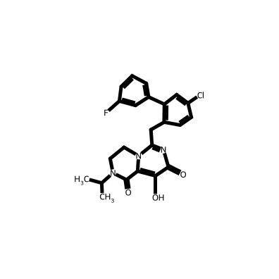 CC(C)N1CCn2c(Cc3ccc(Cl)cc3-c3cccc(F)c3)nc(=O)c(O)c2C1=O